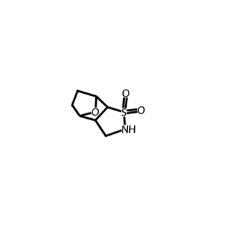 O=S1(=O)NCC2C3CCC(O3)C21